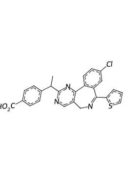 CC(c1ccc(C(=O)O)cc1)c1ncc2c(n1)-c1ccc(Cl)cc1C(c1cccs1)=NC2